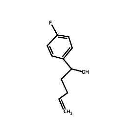 C=CCCC(O)c1ccc(F)cc1